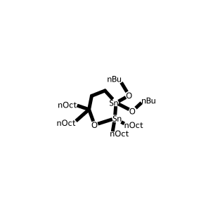 CCCCCCCCC1(CCCCCCCC)C[CH2][Sn]([O]CCCC)([O]CCCC)[Sn]([CH2]CCCCCCC)([CH2]CCCCCCC)[O]1